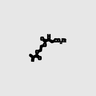 C=C(C)C(=O)OCCOC(=O)NCC(=O)OCC